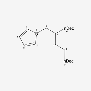 CCCCCCCCCCCCC(CCCCCCCCCC)Cn1cccc1